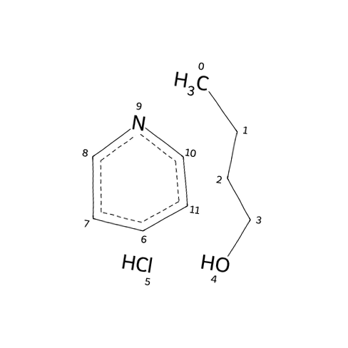 CCCCO.Cl.c1ccncc1